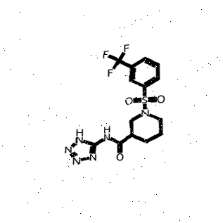 O=C(Nc1nnn[nH]1)C1CCCN(S(=O)(=O)c2cccc(C(F)(F)F)c2)C1